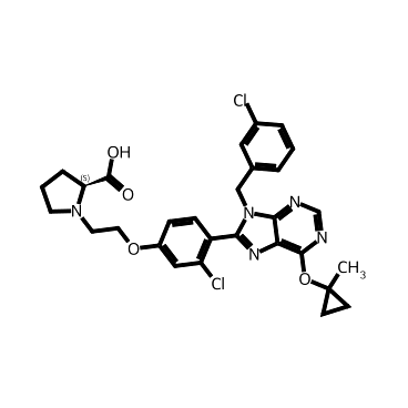 CC1(Oc2ncnc3c2nc(-c2ccc(OCCN4CCC[C@H]4C(=O)O)cc2Cl)n3Cc2cccc(Cl)c2)CC1